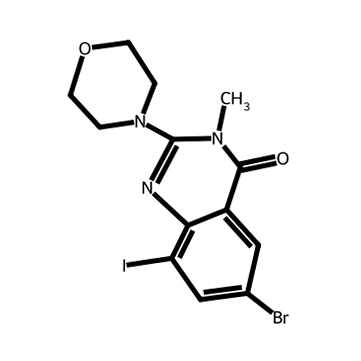 Cn1c(N2CCOCC2)nc2c(I)cc(Br)cc2c1=O